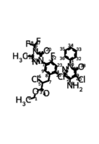 CCOC(=O)C(Cl)Cc1cc(-n2nc(C)n(C(F)F)c2=O)c(F)cc1Cl.Nc1cnn(-c2ccccc2)c(=O)c1Cl